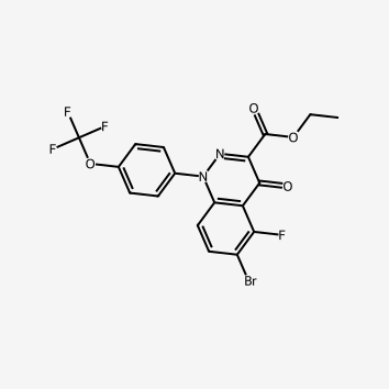 CCOC(=O)c1nn(-c2ccc(OC(F)(F)F)cc2)c2ccc(Br)c(F)c2c1=O